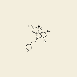 COc1cc(Br)c2c3c1O[C@@H]1C[C@@H](O)C=CC31CCN(CCN1CCOCC1)C2